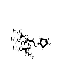 CC(C)OP(=O)(COC1CC=CC1)OC(C)C